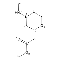 CNN1CCOC(CC(=O)OC)C1